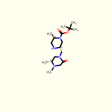 C[C@@H]1CN(C[C@H]2CN(C(=O)OC(C)(C)C)[C@H](C)CN2)C(=O)CN1C